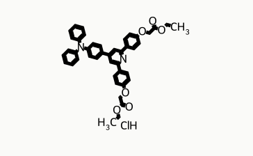 CCOC(=O)COc1ccc(-c2cc(-c3ccc(N(c4ccccc4)c4ccccc4)cc3)cc(-c3ccc(OCC(=O)OCC)cc3)n2)cc1.Cl